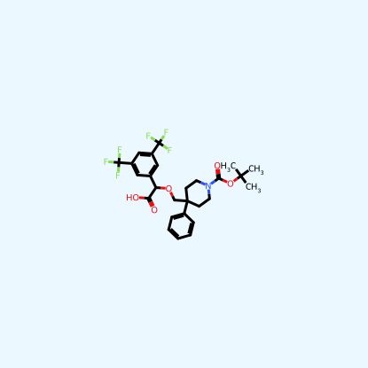 CC(C)(C)OC(=O)N1CCC(COC(C(=O)O)c2cc(C(F)(F)F)cc(C(F)(F)F)c2)(c2ccccc2)CC1